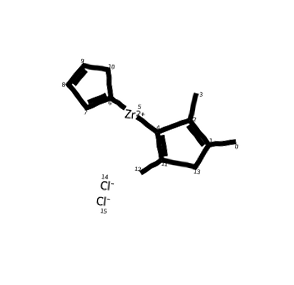 CC1=C(C)[C]([Zr+2][C]2=CC=CC2)=C(C)C1.[Cl-].[Cl-]